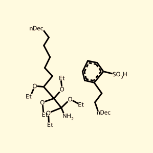 CCCCCCCCCCCCCCCC(OCC)C(OCC)(OCC)C(N)(OCC)OCC.CCCCCCCCCCCCc1ccccc1S(=O)(=O)O